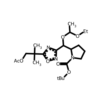 CCOC(C)OC(c1noc(C(C)(C)COC(C)=O)n1)C1CCCN1C(=O)OC(C)(C)C